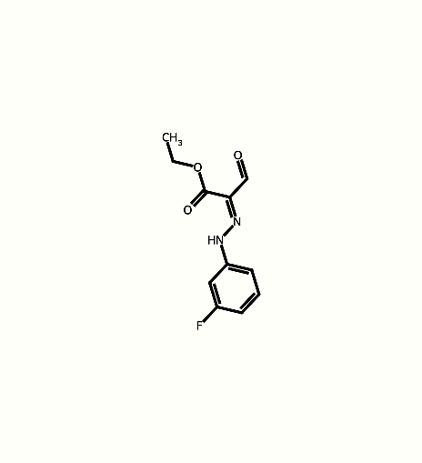 CCOC(=O)C(C=O)=NNc1cccc(F)c1